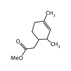 COC(=O)CC1CCC(C)=CC1C